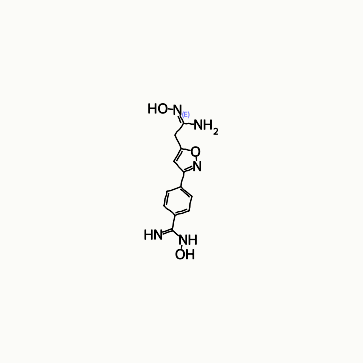 N=C(NO)c1ccc(-c2cc(C/C(N)=N\O)on2)cc1